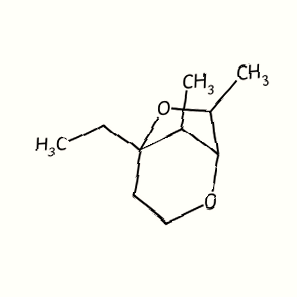 CCC12CCOC(C(C)O1)C2C